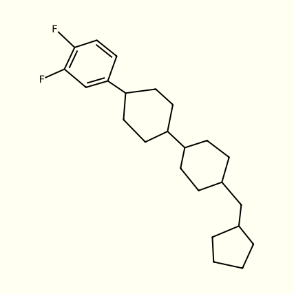 Fc1ccc(C2CCC(C3CCC(CC4CCCC4)CC3)CC2)cc1F